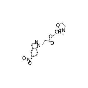 C1=NCCO1.CCOC(=O)CCn1ncc2cc([N+](=O)[O-])ccc21